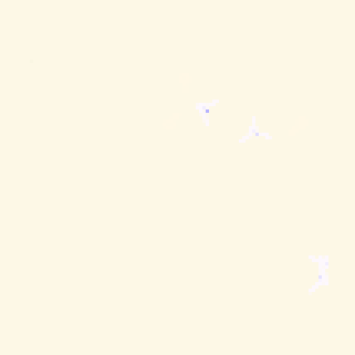 O=C(c1ccc(-c2cccnn2)cc1)N1CCN(S(=O)(=O)c2ccc3cc(Br)ccc3c2)CC1